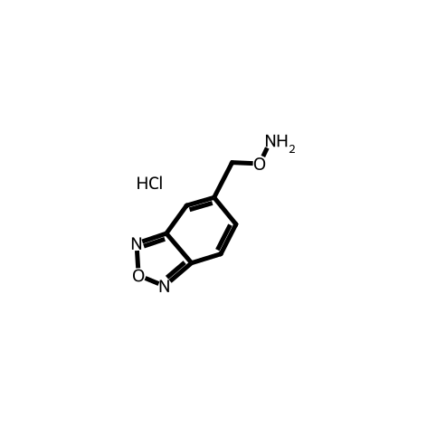 Cl.NOCc1ccc2nonc2c1